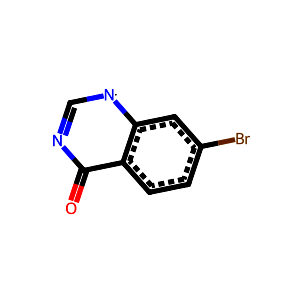 O=C1N=C[N]c2cc(Br)ccc21